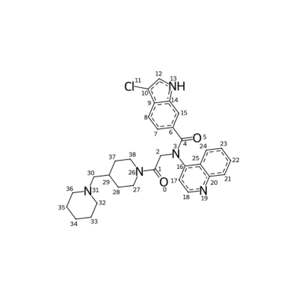 O=C(CN(C(=O)c1ccc2c(Cl)c[nH]c2c1)c1ccnc2ccccc12)N1CCC(CN2CCCCC2)CC1